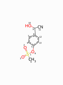 CS(=O)(=O)Oc1ccc(C(O)C#N)cc1